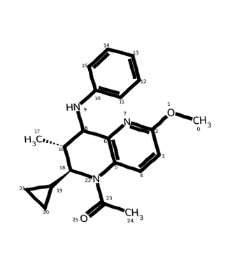 COc1ccc2c(n1)C(Nc1ccccc1)[C@@H](C)[C@H](C1CC1)N2C(C)=O